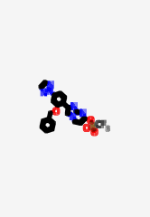 O=S(=O)(Oc1ccn2cc(-c3ccc(-n4nccn4)cc3OCc3ccccc3)nc2n1)C(F)(F)F